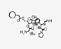 CC(C)(C)[C@H](N)C(=O)O[C@H]1[C@@H](O)[C@](C)(c2ccc(/C(=N\C=N)NC(=O)N3CCCC3)[nH]2)O[C@@H]1COC(=O)CC1CCCCCC1